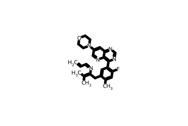 C=C/C=N\C(Cc1cc(-c2ncnc3cc(N4CCOCC4)cnc23)c(F)cc1C)=C(C)C